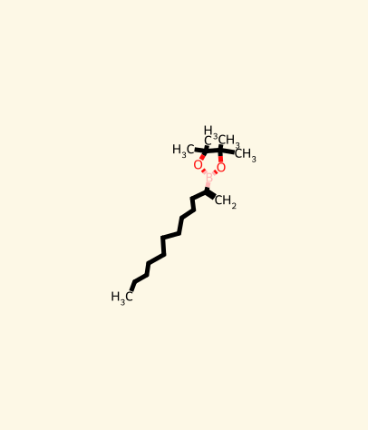 C=C(CCCCCCCCCC)B1OC(C)(C)C(C)(C)O1